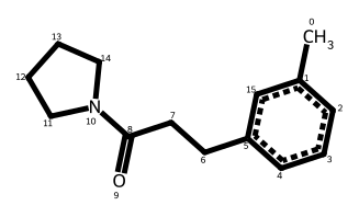 Cc1cccc(CCC(=O)N2CCCC2)c1